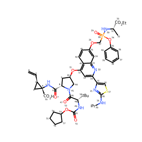 C=C[C@@H]1C[C@]1(NC(=O)[C@@H]1C[C@@H](Oc2cc(-c3csc(NC(C)C)n3)nc3cc(OCP(=O)(N[C@@H](C)C(=O)OCC)Oc4ccccc4)ccc23)CN1C(=O)[C@@H](NC(=O)OC1CCCC1)C(C)(C)C)C(=O)O